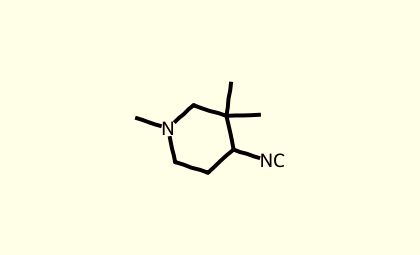 [C-]#[N+]C1CCN(C)CC1(C)C